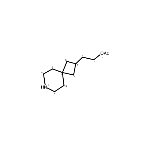 CC(=O)OCCC1CC2(CCNCC2)C1